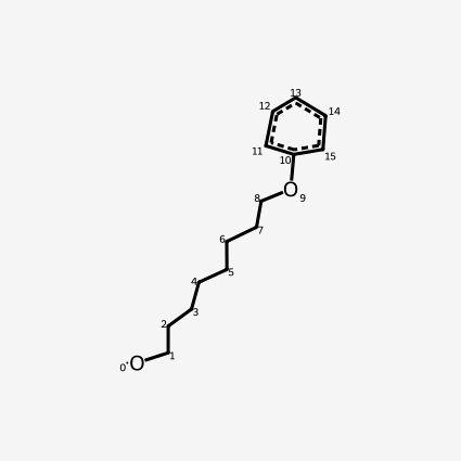 [O]CCCCCCCCOc1ccccc1